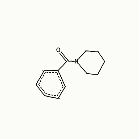 O=C(c1[c]cc[c]c1)N1CCCCC1